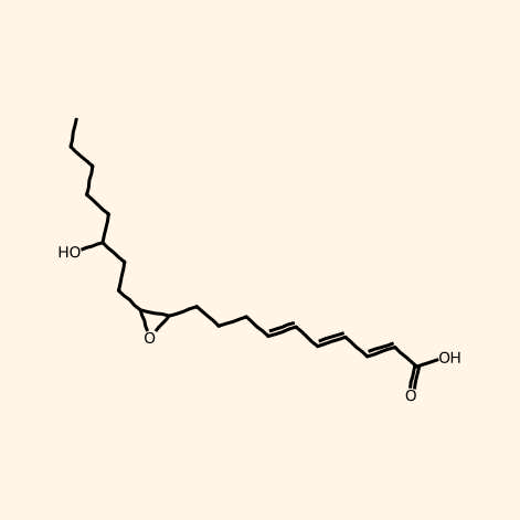 CCCCCC(O)CCC1OC1CCCC=CC=CC=CC(=O)O